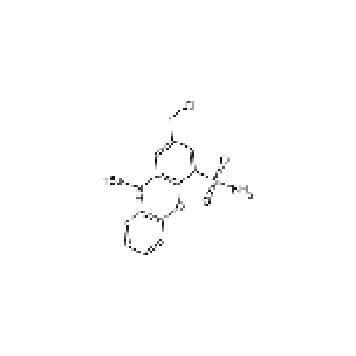 CCCCNc1cc(CCl)cc(S(N)(=O)=O)c1Oc1ccccc1